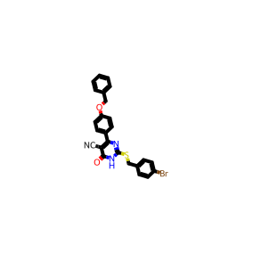 N#Cc1c(-c2ccc(OCc3ccccc3)cc2)nc(SCc2ccc(Br)cc2)[nH]c1=O